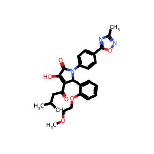 COCCOc1ccccc1C1C(C(=O)CC(C)C)=C(O)C(=O)N1c1ccc(-c2nc(C)no2)cc1